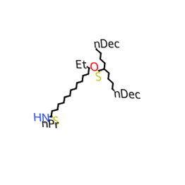 CCCCCCCCCCCCCCC(CCCCCCCCCCCCCC)C(=S)OC(CC)CCCCCCCCCCCCC(=S)NCCC